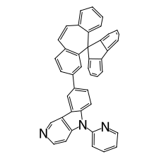 C1=Cc2ccc(-c3ccc4c(c3)c3cnccc3n4-c3ccccn3)cc2C2(c3ccccc31)c1ccccc1-c1ccccc12